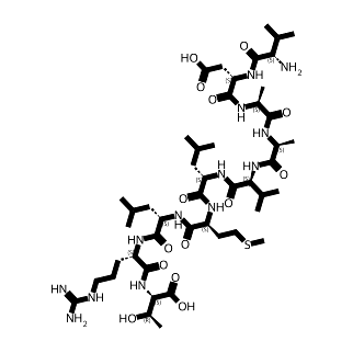 CSCC[C@H](NC(=O)[C@H](CC(C)C)NC(=O)[C@@H](NC(=O)[C@H](C)NC(=O)[C@H](C)NC(=O)[C@H](CC(=O)O)NC(=O)[C@@H](N)C(C)C)C(C)C)C(=O)N[C@@H](CC(C)C)C(=O)N[C@@H](CCCNC(=N)N)C(=O)N[C@H](C(=O)O)[C@@H](C)O